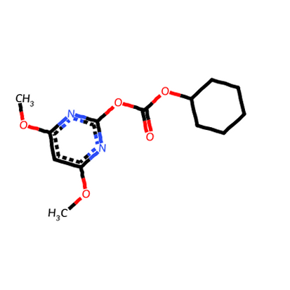 COc1cc(OC)nc(OC(=O)OC2CCCCC2)n1